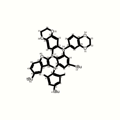 Cc1cc(C(C)(C)C)cc(C)c1N1c2cc(C(C)(C)C)cc3c2B(c2cc4c(cc2N3c2ccc3c(c2)OCCO3)OCCO4)c2oc3ccc(C(C)(C)C)cc3c21